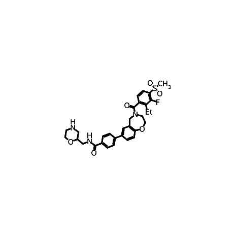 CCc1c(C(=O)N2CCOc3ccc(-c4ccc(C(=O)NCC5CNCCO5)cc4)cc3C2)ccc(S(C)(=O)=O)c1F